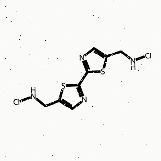 ClNCc1cnc(-c2ncc(CNCl)s2)s1